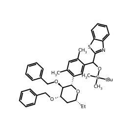 CC[C@@H]1C[C@H](OCc2ccccc2)[C@@H](OCc2ccccc2)[C@H](c2cc(C(O[Si](C)(C)C(C)(C)C)c3nc4ccccc4s3)c(C)cc2C)O1